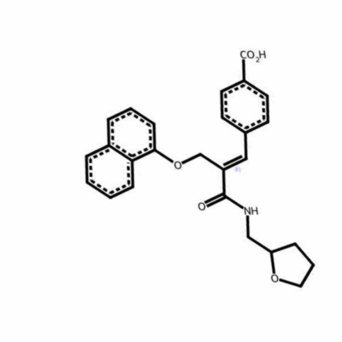 O=C(NCC1CCCO1)/C(=C/c1ccc(C(=O)O)cc1)COc1cccc2ccccc12